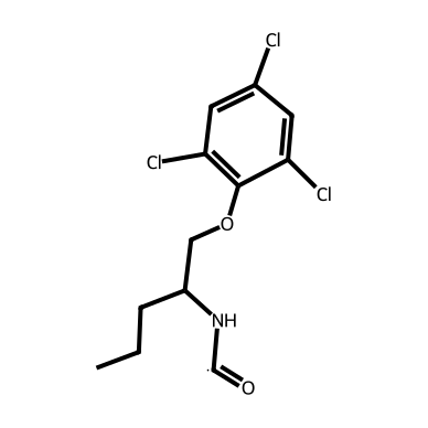 CCCC(COc1c(Cl)cc(Cl)cc1Cl)N[C]=O